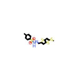 CSc1cc2sc(C=NNS(=O)(=O)c3ccc(C)cc3)cc2s1